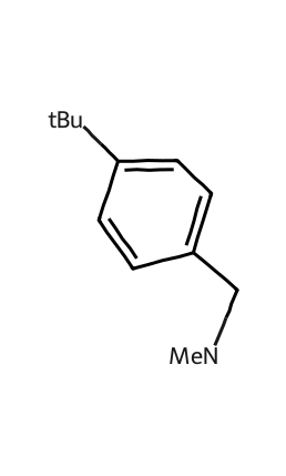 [CH2-][NH2+]Cc1ccc(C(C)(C)C)cc1